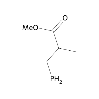 COC(=O)C(C)CP